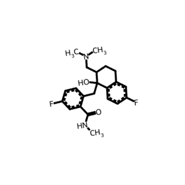 CNC(=O)c1cc(F)ccc1CC1(O)c2ccc(F)cc2CCC1CN(C)C